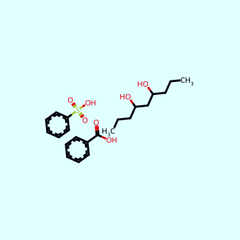 CCCC(O)CC(O)CCC.O=C(O)c1ccccc1.O=S(=O)(O)c1ccccc1